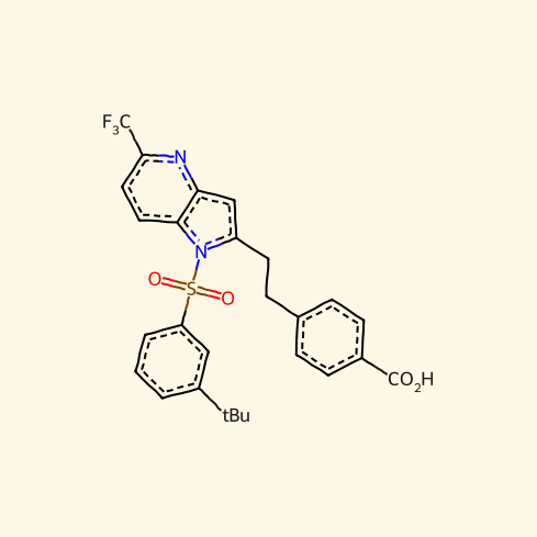 CC(C)(C)c1cccc(S(=O)(=O)n2c(CCc3ccc(C(=O)O)cc3)cc3nc(C(F)(F)F)ccc32)c1